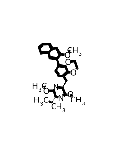 COC1=N[C@H](C(C)C)C(OC)=N[C@H]1Cc1ccc(-c2cc3ccccc3cc2OC)c2c1OCCO2